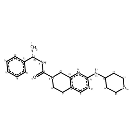 C[C@H](NC(=O)N1CCc2cnc(NC3CCOCC3)nc2C1)c1ccccc1